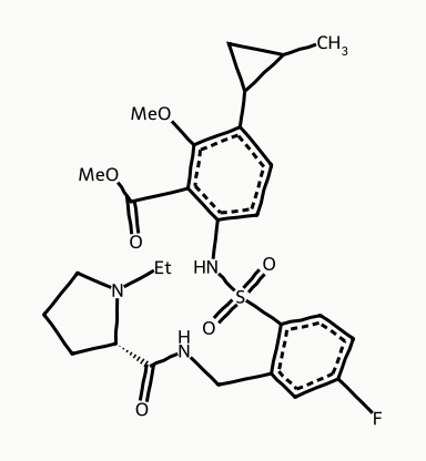 CCN1CCC[C@H]1C(=O)NCc1cc(F)ccc1S(=O)(=O)Nc1ccc(C2CC2C)c(OC)c1C(=O)OC